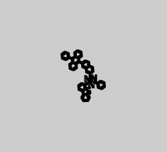 c1ccc(-c2nc(-c3ccc4ccc(-c5c6ccccc6c(-c6ccccc6)c6ccccc56)cc4c3)nc(-c3cccc4c3sc3ccccc34)n2)cc1